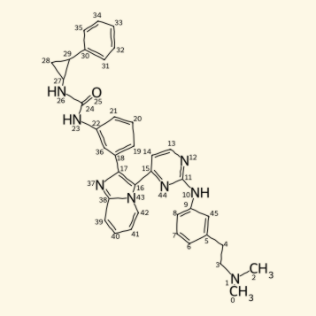 CN(C)CCc1cccc(Nc2nccc(-c3c(-c4cccc(NC(=O)NC5CC5c5ccccc5)c4)nc4ccccn34)n2)c1